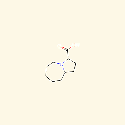 O=C(O)C1CCC2CCCCCN21